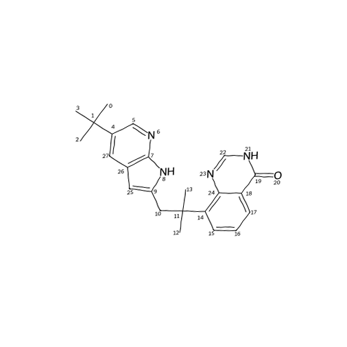 CC(C)(C)c1cnc2[nH]c(CC(C)(C)c3cccc4c(=O)[nH]cnc34)cc2c1